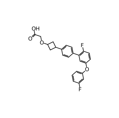 O=C(O)COC1CC(c2ccc(-c3cc(Oc4cccc(F)c4)ccc3F)cc2)C1